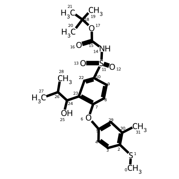 CSc1ccc(Oc2ccc(S(=O)(=O)NC(=O)OC(C)(C)C)cc2C(O)C(C)C)cc1C